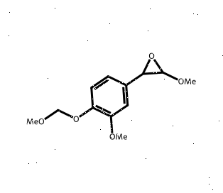 COCOc1ccc(C2OC2OC)cc1OC